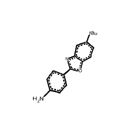 CC(C)(C)c1ccc2oc(-c3ccc(N)cc3)nc2c1